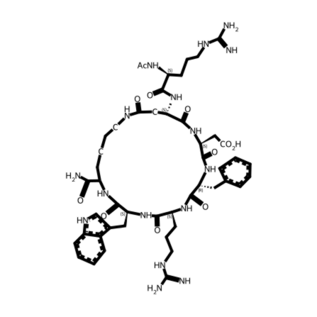 CC(=O)N[C@@H](CCCNC(=N)N)C(=O)N[C@H]1CC(=O)NCCCCC(C(N)=O)NC(=O)[C@H](Cc2c[nH]c3ccccc23)NC(=O)[C@H](CCCNC(=N)N)NC(=O)[C@@H](Cc2ccccc2)NC(=O)[C@H](CC(=O)O)NC1=O